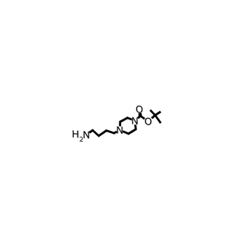 CC(C)(C)OC(=O)N1CCN(CCCCN)CC1